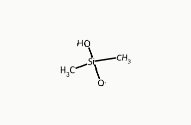 C[Si](C)([O])O